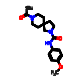 CC(C)(C)C(=O)N1CCC2(CCN(C(=O)Nc3ccc(OC(F)(F)F)cc3)C2)CC1